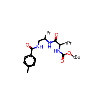 CCCC(NC(=O)OC(C)(C)C)C(=O)NC(CNC(=O)c1ccc(C)cc1)C(C)C